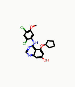 COc1cc(Nc2ncnc3cc(O)cc(OC4CCCC4)c23)c(Cl)cc1Cl